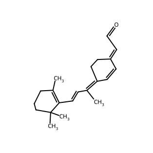 CC1=C(/C=C/C(C)=C2C=C/C(=C/C=O)CC/2)C(C)(C)CCC1